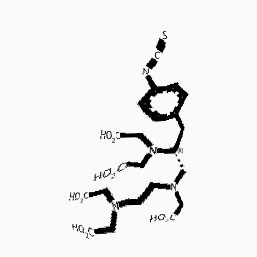 O=C(O)CN(CCN(CC(=O)O)C[C@@H](Cc1ccc(N=C=S)cc1)N(CC(=O)O)CC(=O)O)CC(=O)O